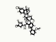 CCOc1ccccc1-c1ccc(N2C[C@H]3CN(c4ccc(Cl)cc4C(F)(F)F)C(=O)N3C[C@H]2C)c(C(=O)N[C@@H]2CC(=O)N(C)C2)n1